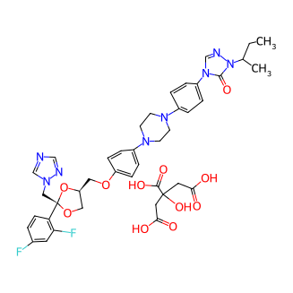 CCC(C)n1ncn(-c2ccc(N3CCN(c4ccc(OC[C@H]5CO[C@](Cn6cncn6)(c6ccc(F)cc6F)O5)cc4)CC3)cc2)c1=O.O=C(O)CC(O)(CC(=O)O)C(=O)O